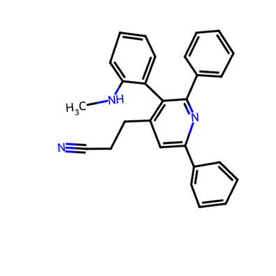 CNc1ccccc1-c1c(CCC#N)cc(-c2ccccc2)nc1-c1ccccc1